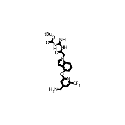 CC(C)(C)OC(=O)NC(=N)NC(=O)Cn1ccc2c(Oc3cc(CN)cc(C(F)(F)F)n3)cccc21